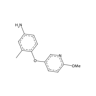 COc1ccc(Oc2ccc(N)cc2C)cn1